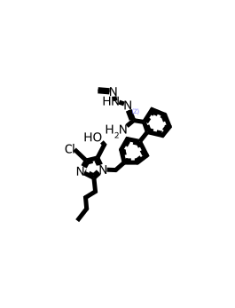 C=NN/N=C(\N)c1ccccc1-c1ccc(Cn2c(CCCC)nc(Cl)c2CO)cc1